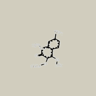 CCCCCCOc1c(OCCCC)c2ccc([N+](=O)[O-])cc2n(CCCC)c1=O